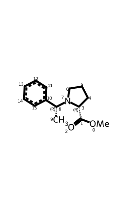 COC(=O)[C@H]1CCCN1[C@H](C)c1ccccc1